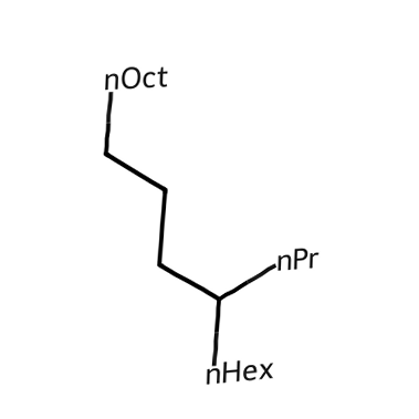 [CH2]CCCCCC(CCC)CCCCCCCCCCC